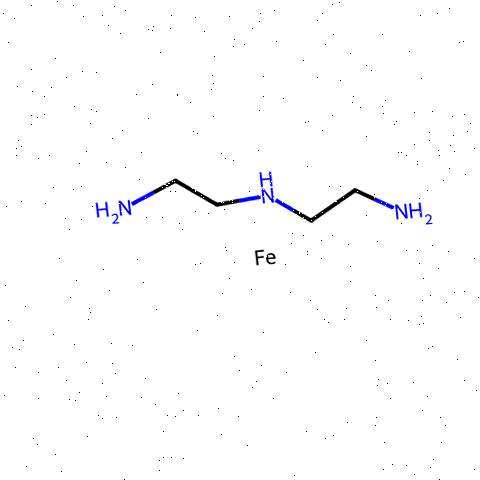 NCCNCCN.[Fe]